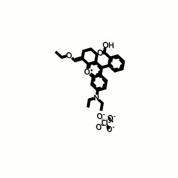 CCOC=C1CCCc2c1[o+]c1cc(N(CC)CC)ccc1c2-c1ccccc1C(=O)O.[O-][Cl+3]([O-])([O-])[O-]